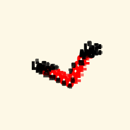 [La+3].[La+3].[Mo+6].[Mo+6].[O-2].[O-2].[O-2].[O-2].[O-2].[O-2].[O-2].[O-2].[O-2]